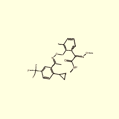 CNC(=O)/C(=N/OC)c1cccc(C)c1CO/N=C(\C)c1cc(C(F)(F)F)ccc1C1CC1